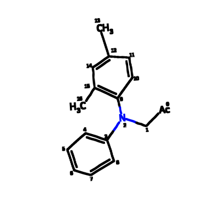 CC(=O)CN(c1ccccc1)c1ccc(C)cc1C